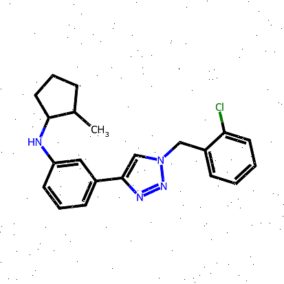 CC1[CH]CCC1Nc1cccc(-c2cn(Cc3ccccc3Cl)nn2)c1